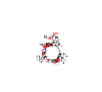 CC[C@@H](C)[C@@H]1CC(=O)[C@H](C)/C=C(\C)[C@@H](O)[C@@H](OC)C(=O)[C@H](C)C[C@H](C)/C=C/C=C/C=C(\C)C(OC(C)(C)CCOC(C)(C)CCO)C[C@@H]2CC[C@@H](C)[C@@](O)(O2)C(=O)C(=O)N2CCCC[C@H]2C(=O)O1